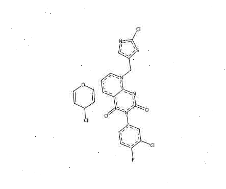 ClC1C=[C]OC=C1.O=c1nc2n(Cc3cnc(Cl)s3)cccc-2c(=O)n1-c1ccc(F)c(Cl)c1